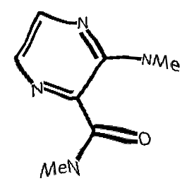 CNC(=O)c1nccnc1NC